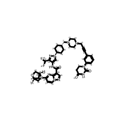 O=C1CCN(c2cccc(C#CCN3CCN(C[C@H]4CC[C@H](n5cc(NC(=O)c6cnn7ccc(N8C[C@H]9C[C@@H]8CO9)nc67)c(C(F)F)n5)CC4)CC3)c2)C(=O)N1